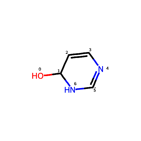 OC1C=CN=[C]N1